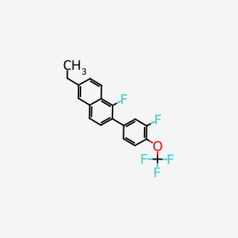 CCc1ccc2c(F)c(-c3ccc(OC(F)(F)F)c(F)c3)ccc2c1